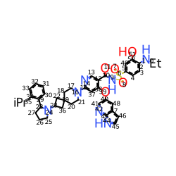 CCNc1ccc(S(=O)(=O)NC(=O)c2cnc(N3CCC4(CC3)CC(N3CCCC3c3ccccc3C(C)C)C4)cc2Oc2cnc3[nH]ccc3c2)cc1O